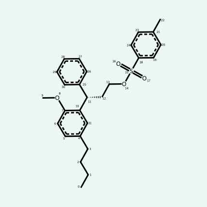 CCCCc1ccc(OC)c([C@@H](CCOS(=O)(=O)c2ccc(C)cc2)c2ccccc2)c1